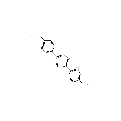 CCCCCc1ccc(-c2ncc(-c3ncc(OC)cn3)cn2)cc1